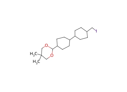 CC1(C)COC(C2CCC(C3CCC(CI)CC3)CC2)OC1